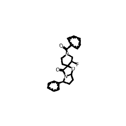 O=C(c1ccccc1)N1CCC2(OC3CCC(c4ccccc4)N3C2=O)C(F)C1